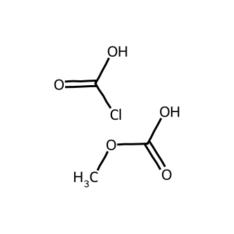 COC(=O)O.O=C(O)Cl